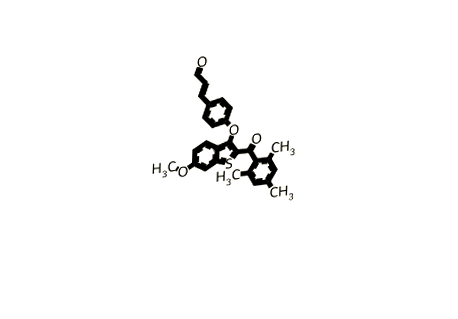 COc1ccc2c(Oc3ccc(/C=C/C=O)cc3)c(C(=O)c3c(C)cc(C)cc3C)sc2c1